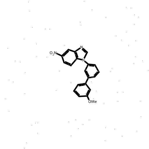 COc1cccc(-c2cccc(-n3cnc4cc([N+](=O)[O-])ccc43)c2)c1